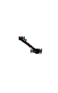 NCCCCCCCCCCCCCCCCCCCC[Si](O)(O)O